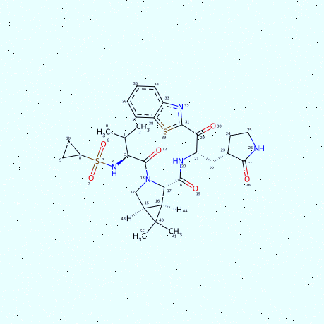 CC(C)[C@H](NS(=O)(=O)C1CC1)C(=O)N1C[C@H]2[C@@H]([C@H]1C(=O)N[C@@H](C[C@@H]1CCNC1=O)C(=O)c1nc3ccccc3s1)C2(C)C